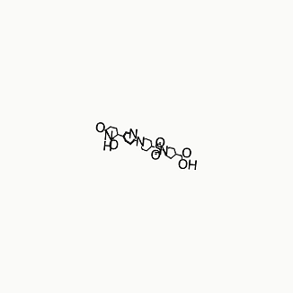 O=C1CCC(c2ccc(N3CCC(S(=O)(=O)N4CCC(C(=O)O)CC4)CC3)nc2)C(=O)N1